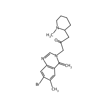 C=C1c2cc(C)c(Br)cc2N=CN1CC(=O)CC1CCCCN1C